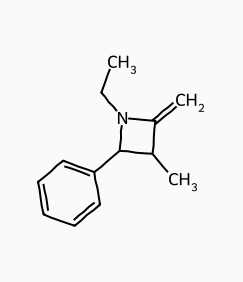 C=C1C(C)C(c2ccccc2)N1CC